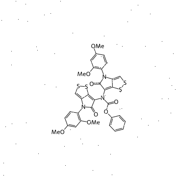 COc1ccc(-n2c3cssc-3c(N(C(=O)Oc3ccccc3)c3c4sscc-4n(-c4ccc(OC)cc4OC)c3=O)c2=O)c(OC)c1